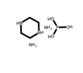 C1CNCCN1.N.N.OP(O)O